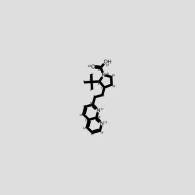 CC(C)(C)C1C(CCc2ccc3cccnc3n2)CCN1C(=O)O